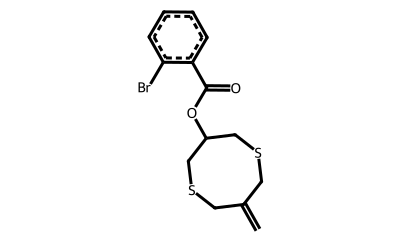 C=C1CSCC(OC(=O)c2ccccc2Br)CSC1